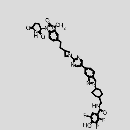 Cn1c(=O)n([C@@H]2CCC(=O)NC2=O)c2ccc(CCC3CN(c4ncc(-c5ccc6cn(C7CCC(CNC(=O)c8cc(F)c(O)c(F)c8F)CC7)nc6c5)cn4)C3)cc21